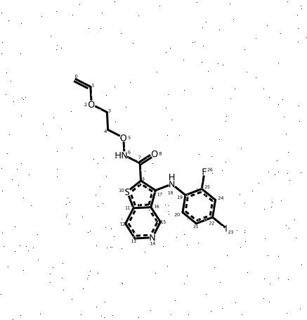 C=COCCONC(=O)c1sc2ccncc2c1Nc1ccc(I)cc1F